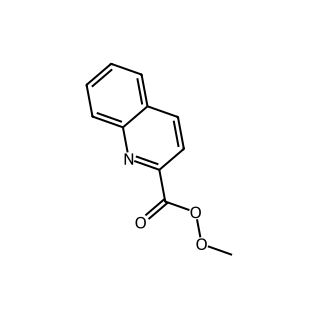 COOC(=O)c1ccc2ccccc2n1